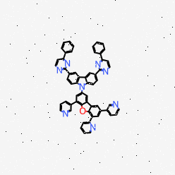 c1ccc(-c2ccnc(-c3ccc4c(c3)c3cc(-c5nccc(-c6ccccc6)n5)ccc3n4-c3cc(-c4cccnc4)c4oc5c(-c6ccccn6)cc(-c6cccnc6)cc5c4c3)n2)cc1